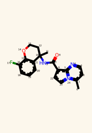 Cc1ccnc2c(C(=O)NC3(C)CCOc4c(F)cccc43)ccn12